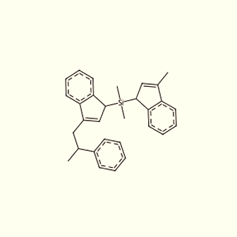 CC1=CC([Si](C)(C)C2C=C(CC(C)c3ccccc3)c3ccccc32)c2ccccc21